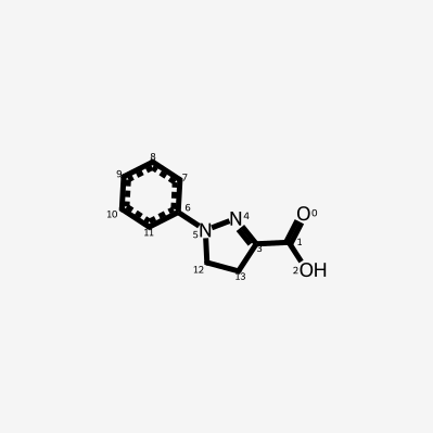 O=C(O)C1=NN(c2ccccc2)CC1